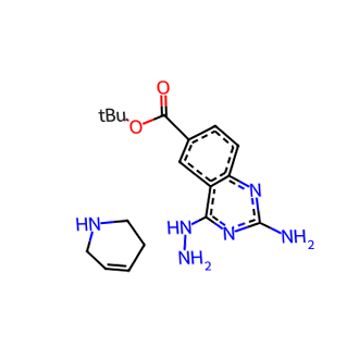 C1=CCNCC1.CC(C)(C)OC(=O)c1ccc2nc(N)nc(NN)c2c1